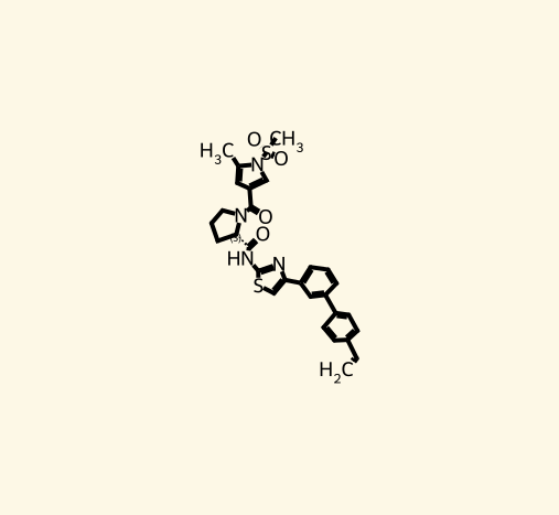 C=Cc1ccc(-c2cccc(-c3csc(NC(=O)[C@@H]4CCCN4C(=O)c4cc(C)n(S(C)(=O)=O)c4)n3)c2)cc1